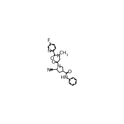 CN(CC(=O)N1CC(C(=O)Nc2ccccc2)CC1C#N)C(=O)c1ccc(F)cn1